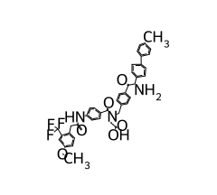 COc1ccc(CC(=O)Nc2ccc(C(=O)N(CC(=O)O)Cc3ccc(C(=O)C(N)c4ccc(-c5ccc(C)cc5)cc4)cc3)cc2)c(C(F)(F)F)c1